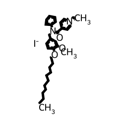 CCCCCCCCCCCCOc1ccc(CN(C(=O)c2cc[n+](CC)cc2)c2ccccc2)cc1OC.[I-]